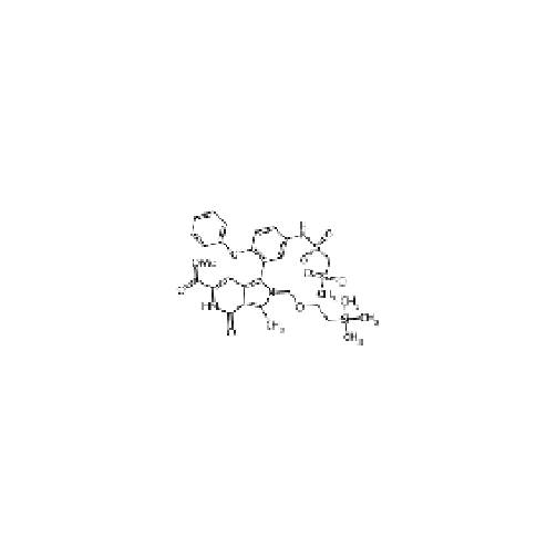 COC(=O)c1cc2c(-c3cc(NS(=O)(=O)CS(C)(=O)=O)ccc3Oc3ccccc3)n(COCC[Si](C)(C)C)c(C)c2c(=O)[nH]1